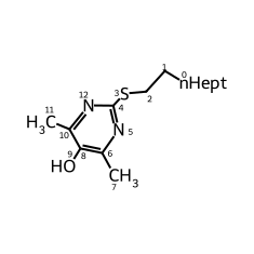 CCCCCCCCCSc1nc(C)c(O)c(C)n1